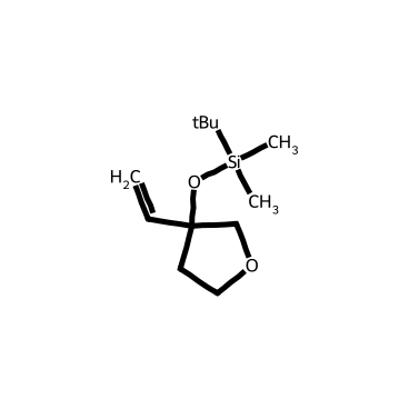 C=CC1(O[Si](C)(C)C(C)(C)C)CCOC1